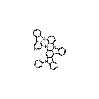 c1ccc(-n2c3ccccc3c3c4c5ccccc5n5c4c(cc32)B2c3c(cccc3-5)-n3c4ccccc4c4cncc2c43)cc1